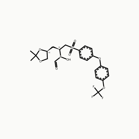 CC1(C)OC[C@H](C[C@@H](CS(=O)(=O)c2ccc(Oc3ccc(OC(F)(F)F)cc3)cc2)N(O)C=O)O1